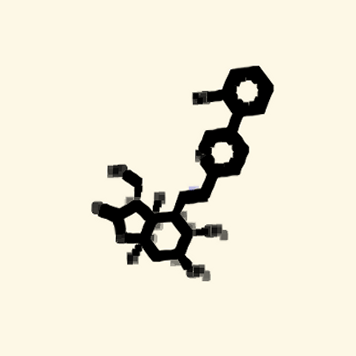 C[C@H]1[C@H](/C=C/c2ccc(-c3ccccc3C#N)cn2)[C@H]2[C@@H](C[C@@H]1C)OC(=O)[C@@H]2CO